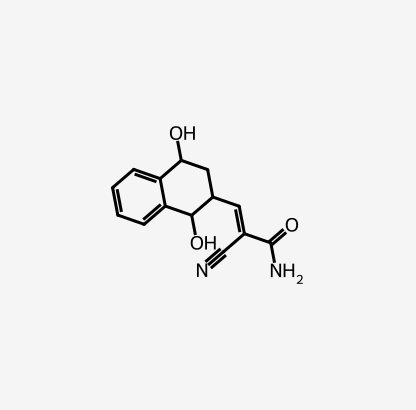 N#CC(=CC1CC(O)c2ccccc2C1O)C(N)=O